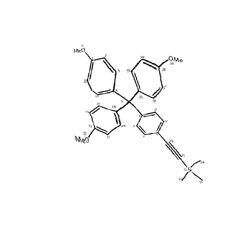 COc1ccc(C(c2ccc(C#C[Si](C)(C)C)cc2)(c2ccc(OC)cc2)c2ccc(OC)cc2)cc1